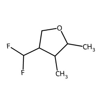 CC1OCC(C(F)F)C1C